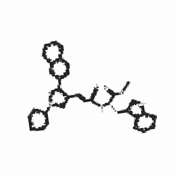 COC(=O)[C@H](Cc1c[nH]c2ccccc12)NC(=O)/C=C/c1cn(-c2ccccc2)nc1-c1ccc2ccccc2c1